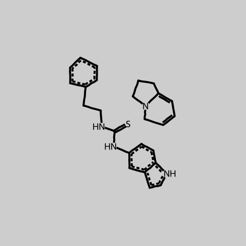 C1=CCN2CCCC2=C1.S=C(NCCc1ccccc1)Nc1ccc2[nH]ccc2c1